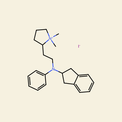 C[N+]1(C)CCCC1CCN(c1ccccc1)C1Cc2ccccc2C1.[I-]